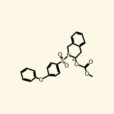 COC(=O)O[C@@H]1Cc2ccccc2CN1S(=O)(=O)c1ccc(Oc2ccccc2)cc1